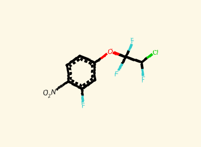 O=[N+]([O-])c1ccc(OC(F)(F)C(F)Cl)cc1F